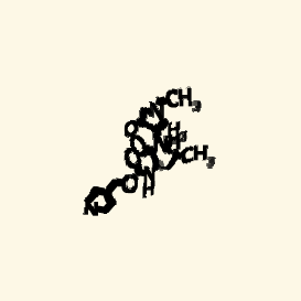 CCN1CC(=O)C(NC(=O)[C@H](CC(C)C)NC(=O)OCc2ccncc2)C1